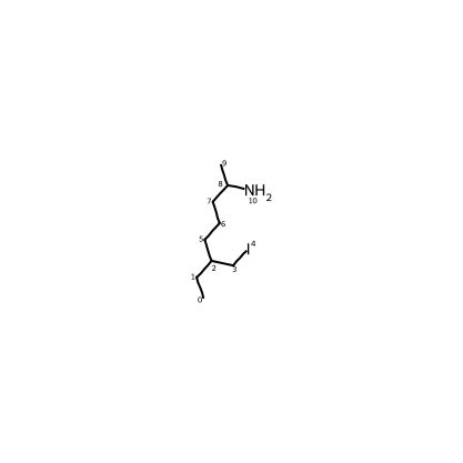 CCC(CI)CCCC(C)N